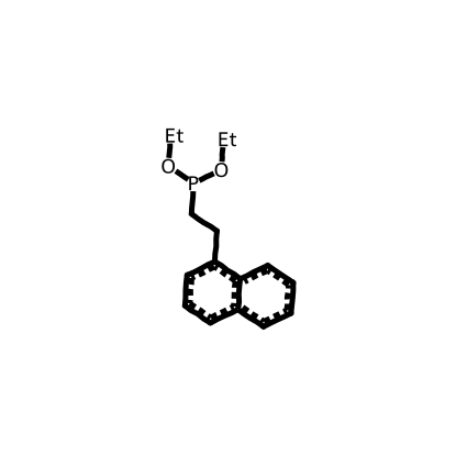 CCOP(CCc1cccc2ccccc12)OCC